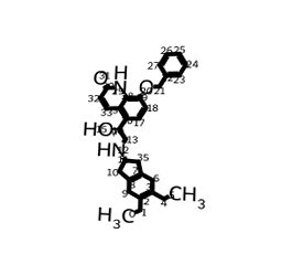 CCC1=C(CC)CC2=C(C1)CC(NC[C@H](O)c1ccc(OCc3ccccc3)c3[nH]c(=O)ccc13)C2